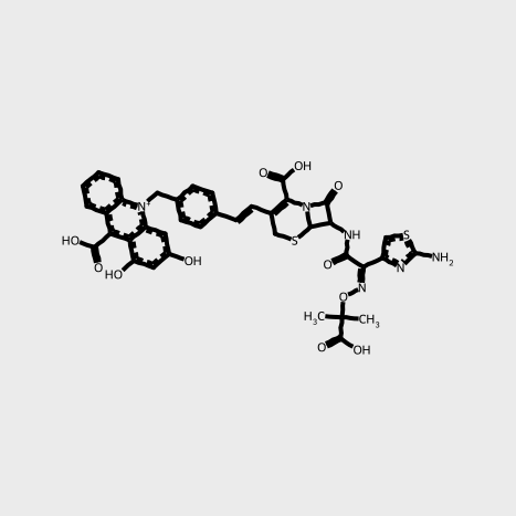 CC(C)(O/N=C(\C(=O)NC1C(=O)N2C(C(=O)O)=C(/C=C/c3ccc(C[n+]4c5ccccc5c(C(=O)O)c5c(O)cc(O)cc54)cc3)CSC12)c1csc(N)n1)C(=O)O